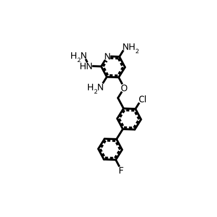 NNc1nc(N)cc(OCc2cc(-c3cccc(F)c3)ccc2Cl)c1N